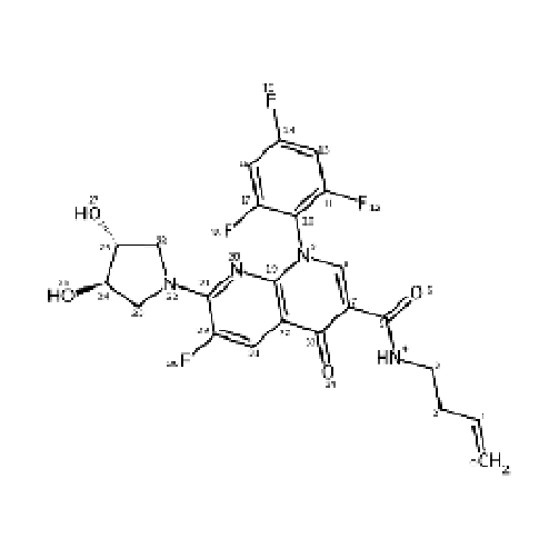 C=CCCNC(=O)c1cn(-c2c(F)cc(F)cc2F)c2nc(N3C[C@@H](O)[C@H](O)C3)c(F)cc2c1=O